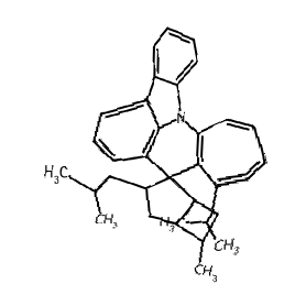 CC(C)CC1CC2C(C)CC2C12C1=C(C=CC=C=C1C(C)C)n1c3ccccc3c3cccc2c31